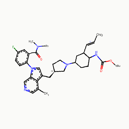 Cc1cncc2c1c(C[C@H]1CCN(C3CCC(NC(=O)OC(C)(C)C)C(/C=C/C=O)C3)C1)cn2-c1ccc(F)cc1C(=O)N(C)C(C)C